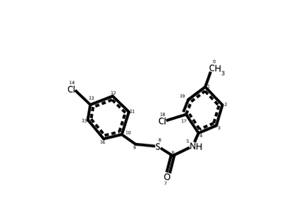 Cc1ccc(NC(=O)SCc2ccc(Cl)cc2)c(Cl)c1